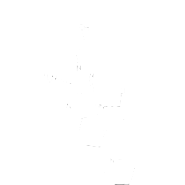 CC(=O)NC1=CC(=[N+]2CCCCC2)C=C/C1=N/c1cnn(CCO)c1N